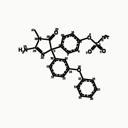 CCCS(=O)(=O)Oc1ccc(C2(c3cccc(Oc4ccccc4)c3)N=C(N)N(C)C2=O)cc1